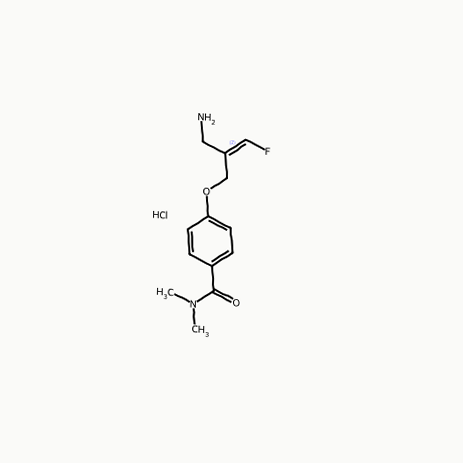 CN(C)C(=O)c1ccc(OC/C(=C\F)CN)cc1.Cl